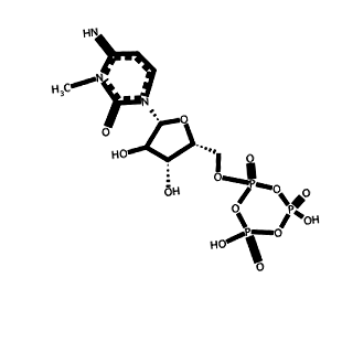 Cn1c(=N)ccn([C@@H]2O[C@H](COP3(=O)OP(=O)(O)OP(=O)(O)O3)[C@H](O)C2O)c1=O